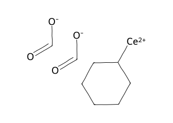 O=C[O-].O=C[O-].[Ce+2][CH]1CCCCC1